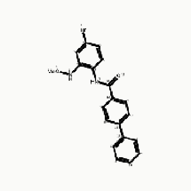 CONc1cc(Br)ccc1NC(=O)c1ccc(-c2ccccc2)cc1